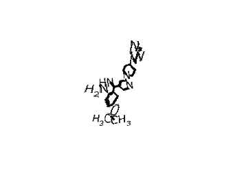 CC(C)Oc1ccc(N)c(C(=N)c2ccnc(N3CCC(n4cncn4)CC3)c2)c1